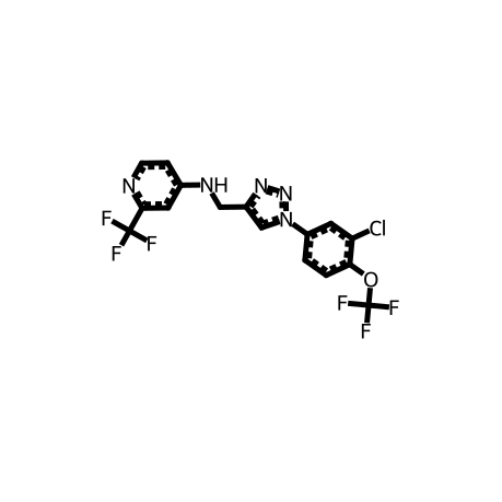 FC(F)(F)Oc1ccc(-n2cc(CNc3ccnc(C(F)(F)F)c3)nn2)cc1Cl